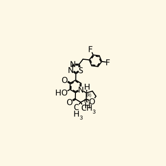 CC1(C)C(=O)c2c(O)c(=O)c(-c3nnc(Cc4ccc(F)cc4F)s3)cn2[C@@H]2CCO[C@@H]21